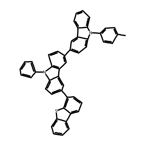 Cc1ccc(-n2c3ccccc3c3cc(-c4ccc5c(c4)c4cc(-c6cccc7c6sc6ccccc67)ccc4n5-c4ccccc4)ccc32)cc1